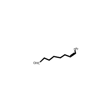 CCC/C=C\CCCCCC=O